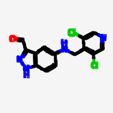 O=Cc1n[nH]c2ccc(NCc3c(Cl)cncc3Cl)cc12